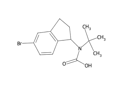 CC(C)(C)N(C(=O)O)C1CCc2cc(Br)ccc21